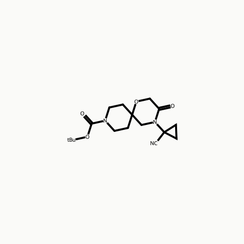 CC(C)(C)OC(=O)N1CCC2(CC1)CN(C1(C#N)CC1)C(=O)CO2